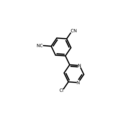 N#Cc1cc(C#N)cc(-c2cc(Cl)ncn2)c1